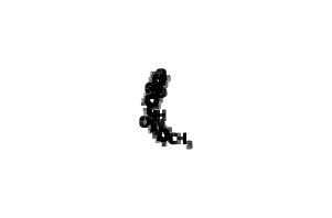 Cc1ccn2cc(C(=O)NCc3ccc(S(=O)(=O)N4CCOCC4)cc3)nc2c1